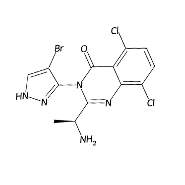 C[C@H](N)c1nc2c(Cl)ccc(Cl)c2c(=O)n1-c1n[nH]cc1Br